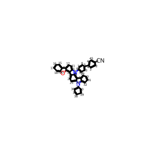 N#Cc1ccc(-c2ccc(-n3c4ccc5c6ccccc6oc5c4c4ccc5c(c6ccccc6n5-c5ccccc5)c43)cc2)cc1